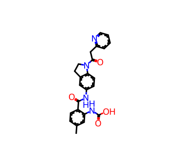 Cc1ccc(C(=O)Nc2ccc3c(c2)CCN3C(=O)Cc2ccccn2)c(NC(=O)O)c1